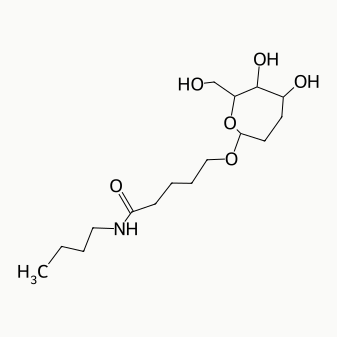 CCCCNC(=O)CCCCOC1CCC(O)C(O)C(CO)O1